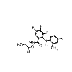 CCC(CO)ONC(=O)c1cc(F)c(F)c(F)c1Nc1ccc(I)cc1C